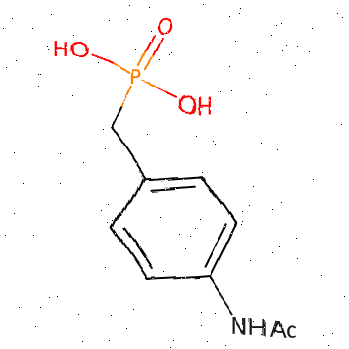 CC(=O)Nc1ccc(CP(=O)(O)O)cc1